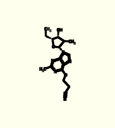 CC[C@H]1O[C@@H](n2cnc3c(OCCC#N)nc(C)nc32)C(C)[C@H]1O